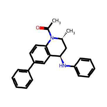 CC(=O)N1c2ccc(-c3ccccc3)cc2[C@H](Nc2ccccc2)C[C@H]1C